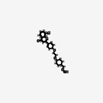 O=c1cc(C2=CCC(OCCOC3CCC(COO)CC3)C=C2)oc2c(Cl)cccc12